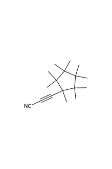 CC1(C)C(C)(C)C(C)(C)C(C)(C#CC#N)C1(C)C